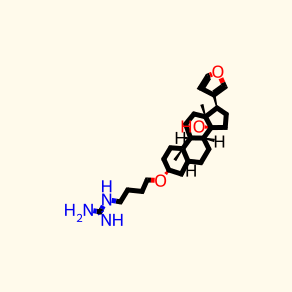 C[C@]12CC[C@H](OCCCCNC(=N)N)C[C@H]1CC[C@@H]1[C@@H]2CC[C@]2(C)[C@@H](c3ccoc3)CC[C@]12O